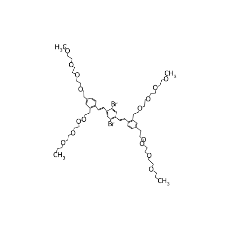 CCCOCCOCCOOCCc1ccc(/C=C/c2cc(Br)c(/C=C/c3ccc(CCOCCOCCOCCOC)cc3CCOOCCOCCOCCC)cc2Br)c(CCOCCOCCOCCOC)c1